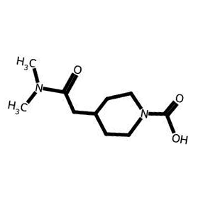 CN(C)C(=O)CC1CCN(C(=O)O)CC1